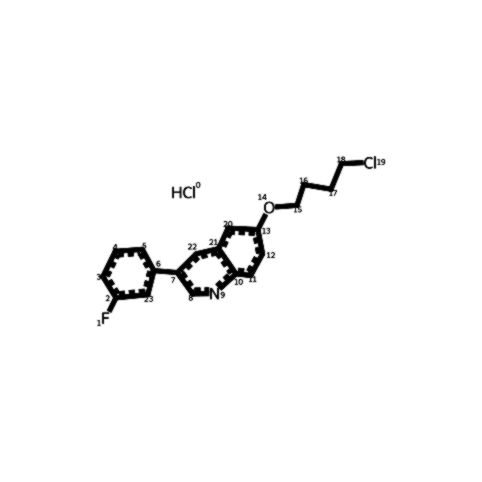 Cl.Fc1cccc(-c2cnc3ccc(OCCCCCl)cc3c2)c1